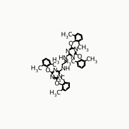 Cc1cccc(C)c1Oc1nc(NCCNc2nc(Oc3c(C)cccc3C)nc(Oc3c(C)cccc3C)n2)nc(Oc2c(C)cccc2C)n1